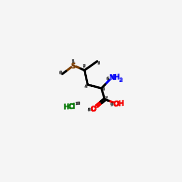 CSC(C)CC(N)C(=O)O.Cl